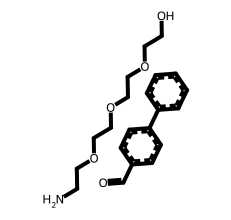 NCCOCCOCCOCCO.O=Cc1ccc(-c2ccccc2)cc1